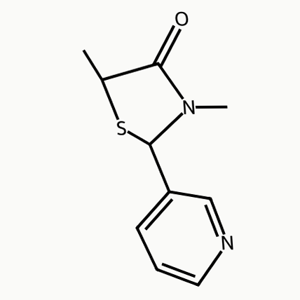 CC1SC(c2cccnc2)N(C)C1=O